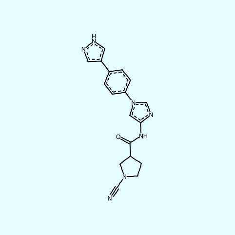 N#CN1CCC(C(=O)Nc2cn(-c3ccc(-c4cn[nH]c4)cc3)cn2)C1